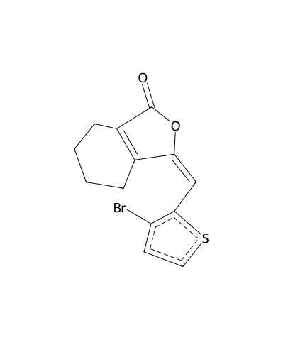 O=C1O/C(=C/c2sccc2Br)C2=C1CCCC2